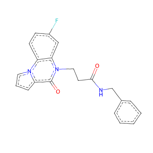 O=C(CCn1c(=O)c2cccn2c2ccc(F)cc21)NCc1ccccc1